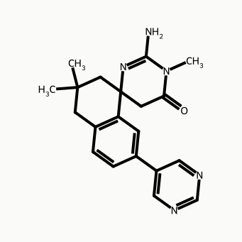 CN1C(=O)CC2(CC(C)(C)Cc3ccc(-c4cncnc4)cc32)N=C1N